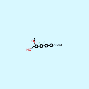 C=CC(=O)OCc1cc(-c2ccc(-c3ccc(-c4ccc(CCCCC)cc4)cc3F)cc2F)ccc1CCCO